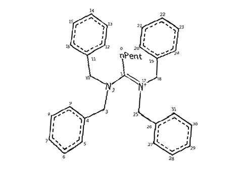 CCCCCC(N(Cc1ccccc1)Cc1ccccc1)=[N+](Cc1ccccc1)Cc1ccccc1